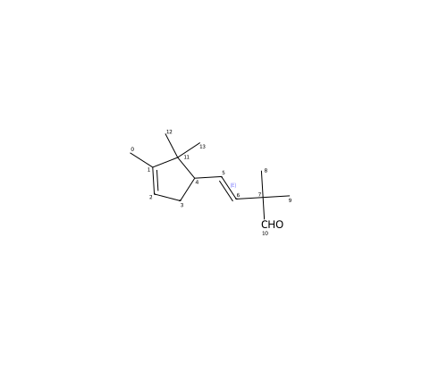 CC1=CCC(/C=C/C(C)(C)C=O)C1(C)C